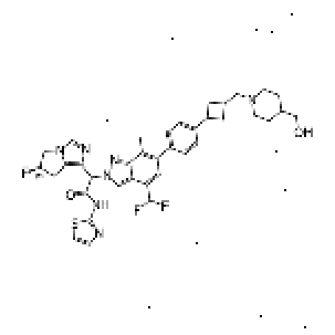 Cc1c(-c2ccc(C3CC(CN4CCC(CO)CC4)C3)cc2)cc(C(F)F)c2cn(C(C(=O)Nc3nccs3)c3ncn4c3C[C@@H](F)C4)nc12